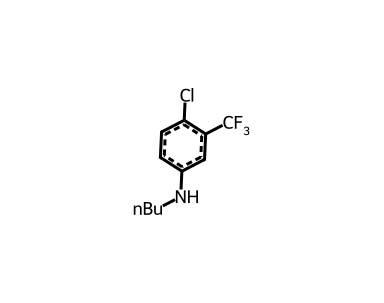 CCCCNc1ccc(Cl)c(C(F)(F)F)c1